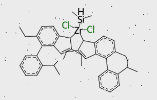 CCC1=Cc2c(ccc(CC)c2-c2ccccc2C(C)C)[CH]1[Zr]([Cl])([Cl])([CH]1C(CC)=Cc2c1ccc(CC)c2-c1ccccc1C(C)C)[SiH](C)C